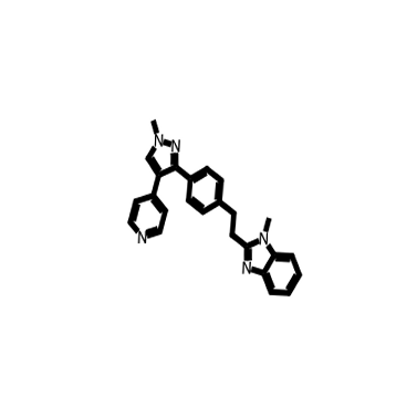 Cn1cc(-c2ccncc2)c(-c2ccc(CCc3nc4ccccc4n3C)cc2)n1